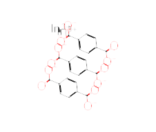 O=C([O-])c1ccc(C(=O)[O-])cc1.O=C([O-])c1ccc(C(=O)[O-])cc1.O=C([O-])c1ccc(C(=O)[O-])cc1.[In+3].[In+3]